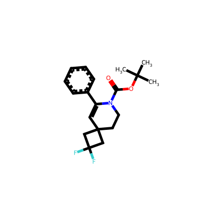 CC(C)(C)OC(=O)N1CCC2(C=C1c1ccccc1)CC(F)(F)C2